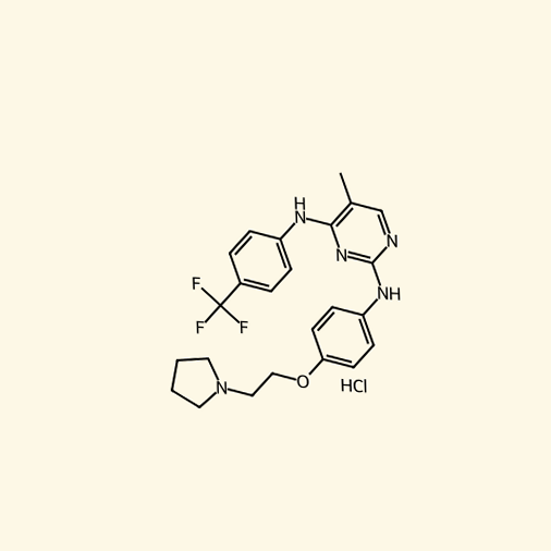 Cc1cnc(Nc2ccc(OCCN3CCCC3)cc2)nc1Nc1ccc(C(F)(F)F)cc1.Cl